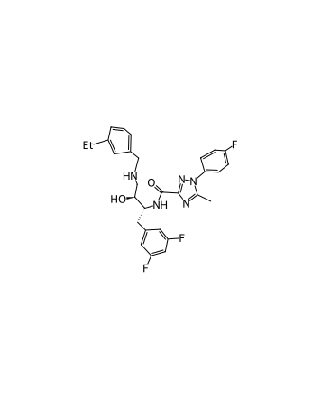 CCc1cccc(CNC[C@H](O)[C@@H](Cc2cc(F)cc(F)c2)NC(=O)c2nc(C)n(-c3ccc(F)cc3)n2)c1